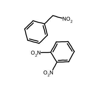 O=[N+]([O-])Cc1ccccc1.O=[N+]([O-])c1ccccc1[N+](=O)[O-]